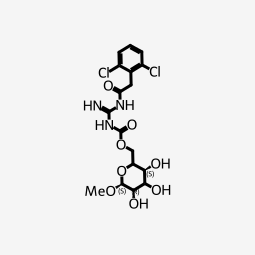 CO[C@H]1OC(COC(=O)NC(=N)NC(=O)Cc2c(Cl)cccc2Cl)[C@@H](O)C(O)[C@H]1O